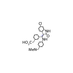 CNCc1ccc(N/C(=C2\C(=O)Nc3cc(Cl)ccc32)c2cccc(CC(=O)O)c2)cc1